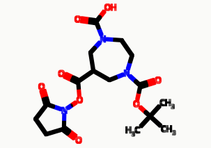 CC(C)(C)OC(=O)N1CCN(C(=O)O)CC(C(=O)ON2C(=O)CCC2=O)C1